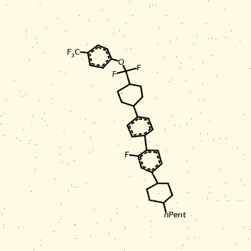 CCCCCC1CCC(c2ccc(-c3ccc(C4CCC(C(F)(F)Oc5ccc(C(F)(F)F)cc5)CC4)cc3)c(F)c2)CC1